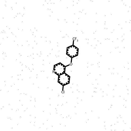 FC(F)(F)c1ccc(Oc2ccnc3cc(Cl)ccc23)cc1